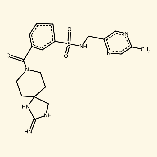 Cc1cnc(CNS(=O)(=O)c2cccc(C(=O)N3CCC4(CC3)CNC(=N)N4)c2)cn1